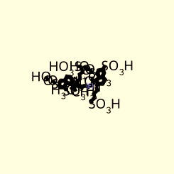 CC1(C)C(C=C/C=C2/N(CCCCS(=O)(=O)O)c3ccc4cc(S(=O)(=O)O)cc(SOOO)c4c3C2(C)C)=[N+](CCCCS(=O)(=O)O)c2ccc3cc(SOOO)cc(S(=O)(=O)O)c3c21